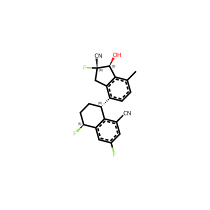 Cc1ccc([C@H]2CC[C@H](F)c3cc(F)cc(C#N)c32)c2c1[C@H](O)[C@](F)(C#N)C2